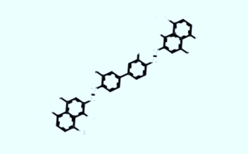 Nc1ccc(S(=O)(=O)O)c2c(I)cc(/N=N/c3ccc(-c4ccc(/N=N/c5cc(I)c6c(S(=O)(=O)O)ccc(N)c6c5O)c(Cl)c4)cc3Cl)c(O)c12